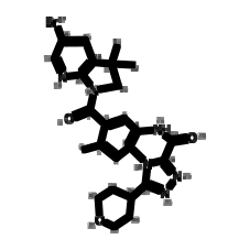 Cc1cc2c(cc1C(=O)N1CC(C)(C)c3cc(Br)cnc31)[nH]c(=O)c1nnc(C3CCOCC3)n12